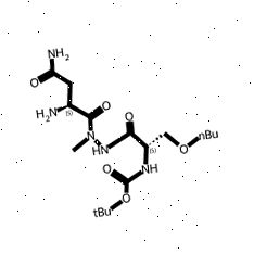 CCCCOC[C@H](NC(=O)OC(C)(C)C)C(=O)NN(C)C(=O)[C@@H](N)CC(N)=O